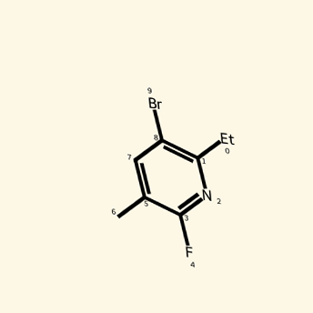 CCc1nc(F)c(C)cc1Br